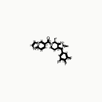 C[C@H]1c2nn(C)c(-c3cc(F)c(F)c(F)c3)c2CCN1C(=O)c1ccc2nccn2c1